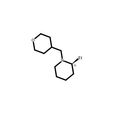 CC[C@H]1CCCCN1CC1CCOCC1